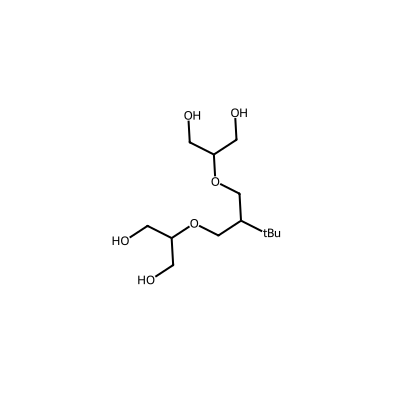 CC(C)(C)C(COC(CO)CO)COC(CO)CO